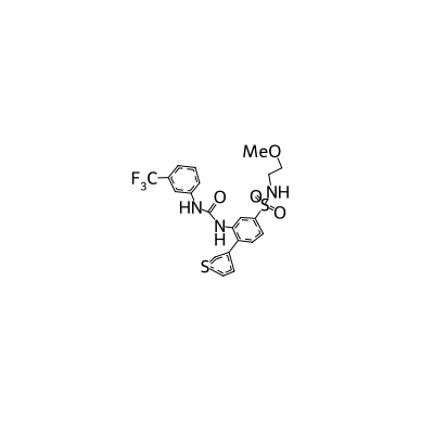 COCCNS(=O)(=O)c1ccc(-c2ccsc2)c(NC(=O)Nc2cccc(C(F)(F)F)c2)c1